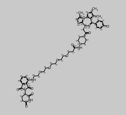 Cc1sc2c(c1C)C(c1ccc(Cl)cc1)=N[C@@H](CC(=O)N1CCN(NC(=O)CCOCCOCCOCCOCCNc3cccc4c3C(=O)N(C3CCC(=O)NC3=O)C4=O)CC1)c1nnc(C)n1-2